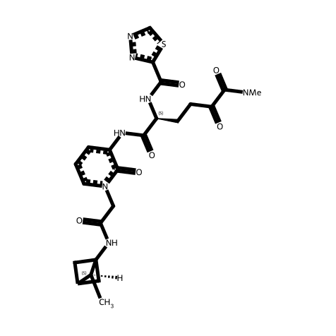 CNC(=O)C(=O)CC[C@H](NC(=O)c1nncs1)C(=O)Nc1cccn(CC(=O)NC23CC(C2)[C@@H]3C)c1=O